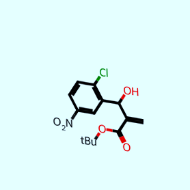 C=C(C(=O)OC(C)(C)C)C(O)c1cc([N+](=O)[O-])ccc1Cl